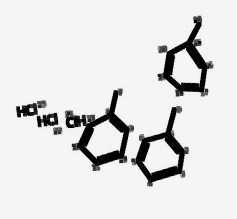 Cc1ccccc1.Cc1ccccc1.Cc1ccccc1.Cl.Cl.Cl